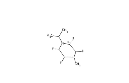 CC1C(F)C(F)N(C(C)C)[C@H](F)C1F